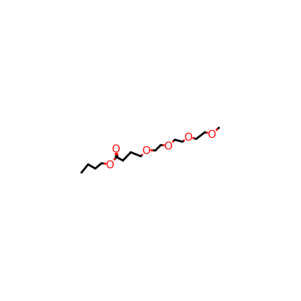 CCCCOC(=O)CCCOCCOCCOCCOC